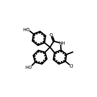 Cc1c(Cl)ccc2c1NC(=O)C2(c1ccc(O)cc1)c1ccc(O)cc1